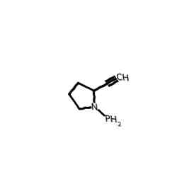 C#CC1CCCN1P